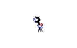 CCCc1noc(-c2cccnc2)n1